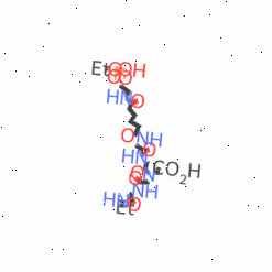 CCNC(=O)CNC(=O)CN(CC(=O)O)C(=O)CNC(=O)CNC(=O)CCCCC(=O)NCCOP(=O)(O)OCC